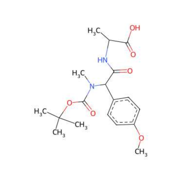 COc1ccc(C(C(=O)NC(C)C(=O)O)N(C)C(=O)OC(C)(C)C)cc1